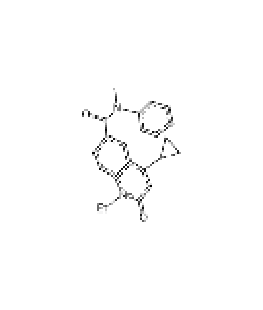 CCn1c(=O)cc(C2CC2)c2cc(C(=O)N(C)c3ccccc3)ccc21